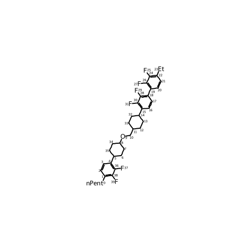 CCCCCc1ccc(C2CCC(OCC3CCC(c4ccc(-c5ccc(CC)c(F)c5F)c(F)c4F)CC3)CC2)c(F)c1F